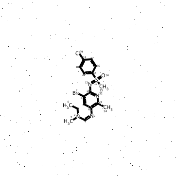 CCN(C)/C=N\c1cc(Br)c(N=S(C)(=O)c2ccc(Cl)cc2)nc1C